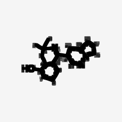 CC1(C)Cc2c(O)cccc2C(c2cnn3cccc3c2)=N1